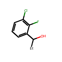 CCC(O)c1cccc(Cl)c1F